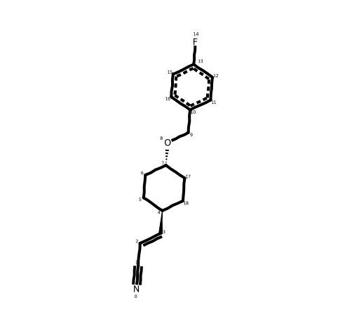 N#C/C=C/[C@H]1CC[C@H](OCc2ccc(F)cc2)CC1